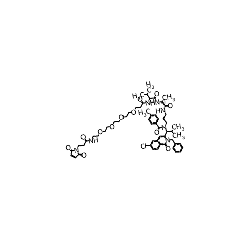 Cc1ccc(C(=O)N(CCCNC(=O)[C@H](C)NC(=O)C(NC(=O)CCOCCOCCOCCOCCNC(=O)CCN2C(=O)C=CC2=O)C(C)C)C(c2cc3cc(Cl)ccc3c(=O)n2Cc2ccccc2)C(C)C)cc1